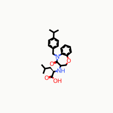 CC(C)C[C@@H](NC1COc2ccccc2N(Cc2ccc(C(C)C)cc2)C1=O)C(=O)O